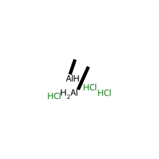 Cl.Cl.Cl.[CH3][AlH2].[CH3][AlH2]